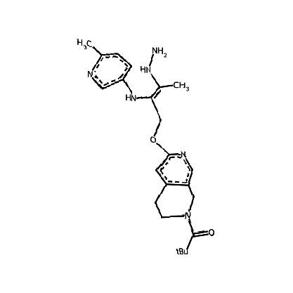 C/C(NN)=C(\COc1cc2c(cn1)CN(C(=O)C(C)(C)C)CC2)Nc1ccc(C)nc1